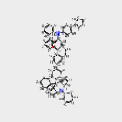 c1ccc(-c2ccc(N(c3ccc4c(ccc5cc(-c6ccc7c(c6)-c6ccccc6C76c7ccccc7N(c7ccccc7)c7ccccc76)ccc54)c3)c3ccccc3-c3ccccc3)cc2)cc1